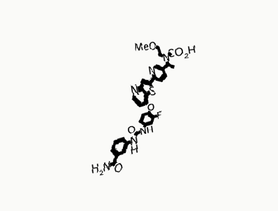 COCCN(C(=O)O)C(C)c1ccc(-c2cc3nccc(Oc4ccc(NC(=O)Nc5cccc(C(N)=O)c5)cc4F)c3s2)nc1